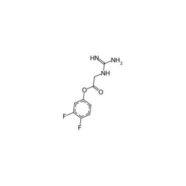 N=C(N)NCC(=O)Oc1ccc(F)c(F)c1